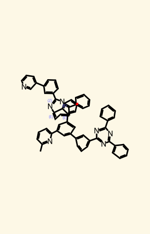 Cc1cccc(-c2cc(-c3cccc(-c4nc(-c5ccccc5)nc(-c5ccccc5)n4)c3)cc(-c3ccccc3C3=C\C=C\C(c4ccccc4)=N/C(c4cccc(-c5cccnc5)c4)=N\3)c2)n1